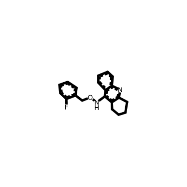 Fc1ccccc1CONc1c2c(nc3ccccc13)CCCC2